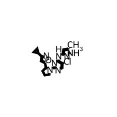 Cc1cc(Nc2nc(N3CCCC3c3cc(C4CC4)no3)ncc2Cl)n[nH]1